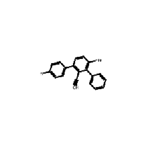 C#Cc1c(-c2ccc([S])cc2)ccc(CCC)c1-c1ccccc1